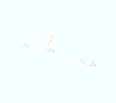 O=C(NCCCCn1ccnc1)C1CCNCC1